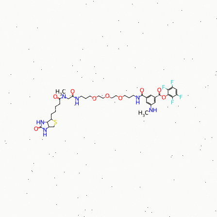 CNc1cc(C(=O)NCCCOCCOCCOCCCNC(=O)CN(C)C(=O)CCCCC2SCC3NC(=O)NC32)cc(C(=O)Oc2c(F)c(F)cc(F)c2F)c1